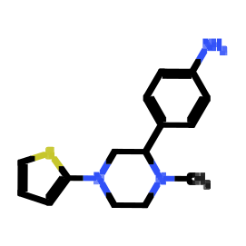 CN1CCN(c2cccs2)CC1c1ccc(N)cc1